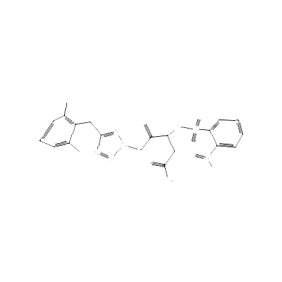 O=C(O)CC(NS(=O)(=O)c1ccccc1[N+](=O)[O-])C(=O)Cn1nnc(Cc2c(Cl)cccc2Cl)n1